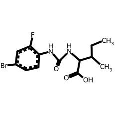 CCC(C)C(NC(=O)Nc1ccc(Br)cc1F)C(=O)O